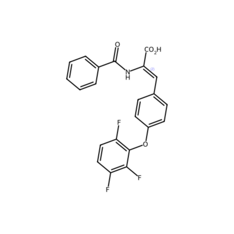 O=C(O)/C(=C/c1ccc(Oc2c(F)ccc(F)c2F)cc1)NC(=O)c1ccccc1